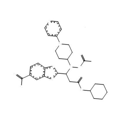 Cl.Cl.N=C(N)c1ccc2[nH]c(C(CC(=O)NC3CCCCC3)N(OC(=O)C(=O)O)C3CCN(c4ccncc4)CC3)nc2c1